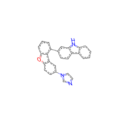 c1ccc2c(c1)[nH]c1cc(-c3cccc4oc5ccc(-n6ccnc6)cc5c34)ccc12